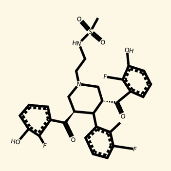 Cc1c(F)cccc1C1[C@@H](C(=O)c2cccc(O)c2F)CN(CCNS(C)(=O)=O)C[C@@H]1C(=O)c1cccc(O)c1F